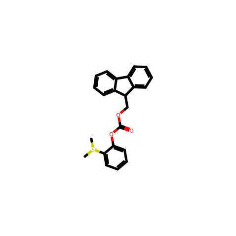 C[S+](C)c1ccccc1OC(=O)OCC1c2ccccc2-c2ccccc21